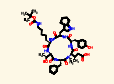 C[C@@H](O)[C@@H]1NC(=O)[C@H](CCCCCNC(=O)OC(C)(C)C)NC(=O)[C@@H](Cc2c[nH]c3ccccc23)NC(=O)[C@H](Cc2ccc(O)cc2)NC(=O)[C@H]([C@@H](C)CC(=O)O)N(C)C(=O)[C@H](Cc2ccccc2)NC1=O